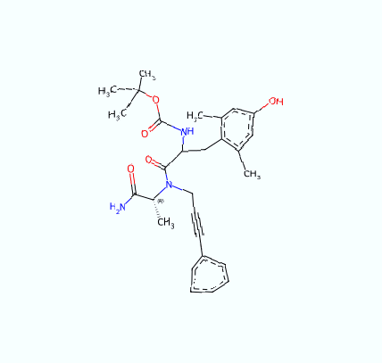 Cc1cc(O)cc(C)c1CC(NC(=O)OC(C)(C)C)C(=O)N(CC#Cc1ccccc1)[C@H](C)C(N)=O